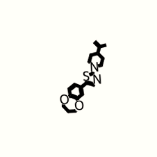 C=C(C)C1CCN(c2ncc(-c3ccc4c(c3)OCCCO4)s2)CC1